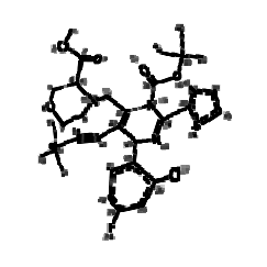 COC(=O)[C@@H]1COCCN1CC1=C(C#C[Si](C)(C)C)C(c2ccc(F)cc2Cl)N=C(c2nccs2)N1C(=O)OC(C)(C)C